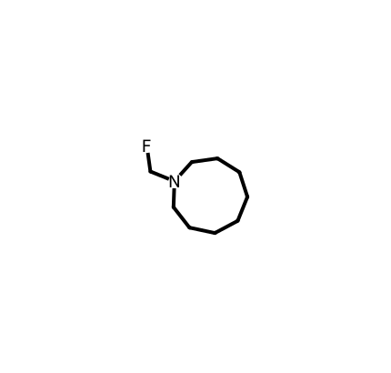 FCN1CCCCCCCC1